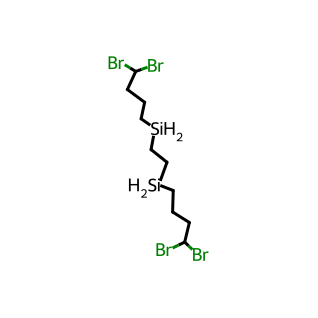 BrC(Br)CCC[SiH2]CC[SiH2]CCCC(Br)Br